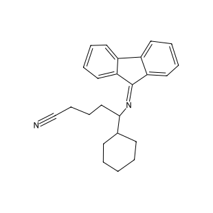 N#CCCCC(N=C1c2ccccc2-c2ccccc21)C1CCCCC1